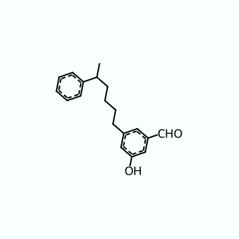 CC(CCCCc1cc(O)cc(C=O)c1)c1ccccc1